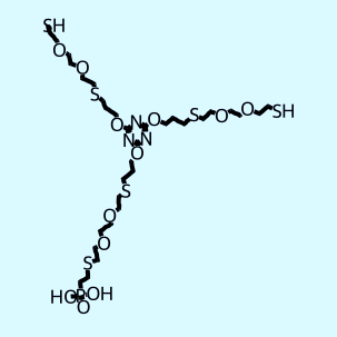 O=P(O)(O)CCSCCOCCOCCSCCCOc1nc(OCCCSCCOCCOCCS)nc(OCCCSCCOCCOCCS)n1